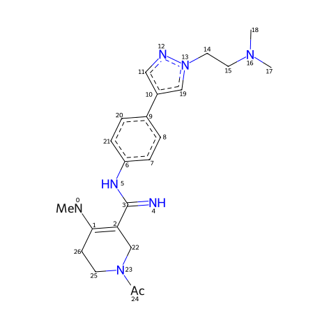 CNC1=C(C(=N)Nc2ccc(-c3cnn(CCN(C)C)c3)cc2)CN(C(C)=O)CC1